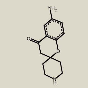 Nc1ccc2c(c1)C(=O)CC1(CCNCC1)O2